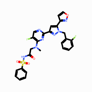 CN(CC(=O)NS(=O)(=O)c1ccccc1)c1nc(-c2cc(-c3ccon3)n(Cc3ccccc3F)n2)ncc1F